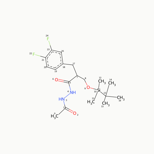 CC(=O)NNC(=O)C(CO[Si](C)(C)C(C)(C)C)Cc1ccc(F)c(F)c1